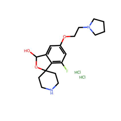 Cl.Cl.OC1OC2(CCNCC2)c2c(F)cc(OCCN3CCCC3)cc21